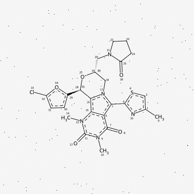 Cc1csc(-c2c3c(=O)n(C)c(=O)n(C)c3c3n2C[C@@H](CN2CCCC2=O)O[C@@H]3c2ccc(Cl)o2)n1